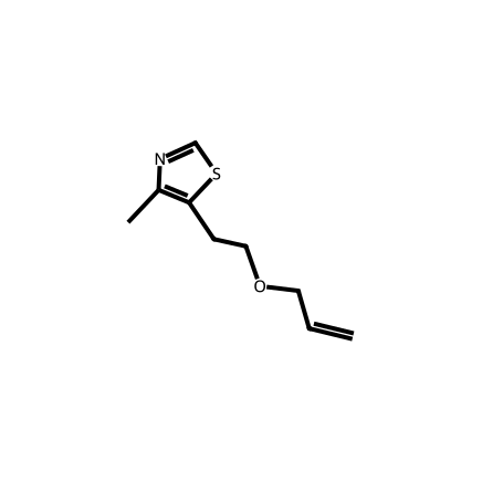 C=CCOCCc1scnc1C